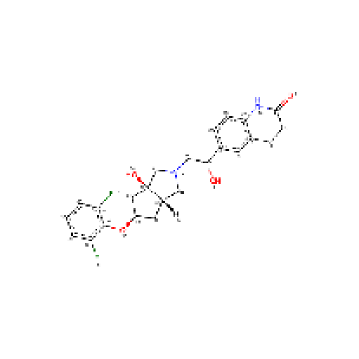 O=C1CCc2cc([C@H](O)CN3C[C@@H]4C[C@@H](Oc5c(F)cccc5F)C[C@]4(O)C3)ccc2N1